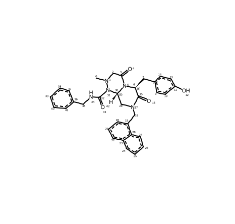 CN1CC(=O)N2[C@@H](Cc3ccc(O)cc3)C(=O)N(Cc3cccc4ccccc34)C[C@@H]2N1C(=O)NCc1ccccc1